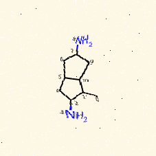 CC1C(N)CC2CC(N)CC21